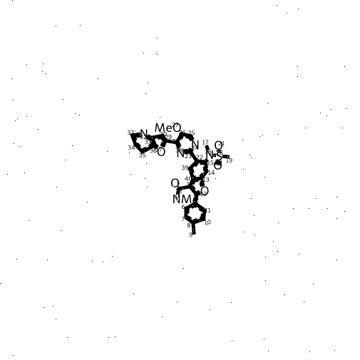 CNC(=O)c1c(-c2ccc(C)cc2)oc2cc(N(C)S(C)(=O)=O)c(-c3ncc(OC)c(-c4cc5ncccc5o4)n3)cc12